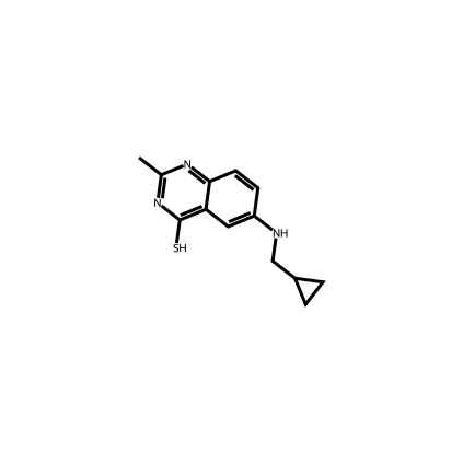 Cc1nc(S)c2cc(NCC3CC3)ccc2n1